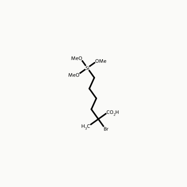 CO[Si](CCCCC(C)(Br)C(=O)O)(OC)OC